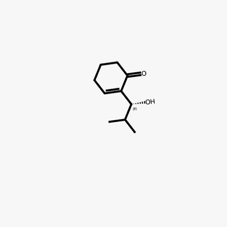 CC(C)[C@@H](O)C1=CCCCC1=O